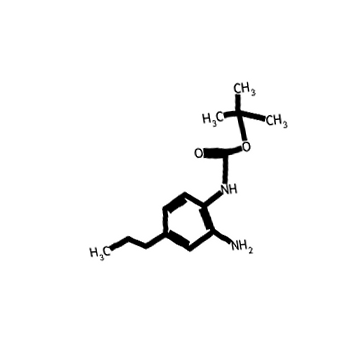 CCCc1ccc(NC(=O)OC(C)(C)C)c(N)c1